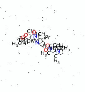 [2H]C([2H])(C)C([2H])([2H])[C@@]1(OC)C(=O)OC(C)c2c1cc1n(c2=O)C(C)c2c-1nc1ccc(OC(=O)N3C(C)CC(N4C(C)CCCC4(C)C)C(C)C3(C)C)cc1c2C(C)C